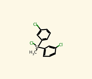 C[Si](Cl)(c1cccc(Cl)c1)c1cccc(Cl)c1